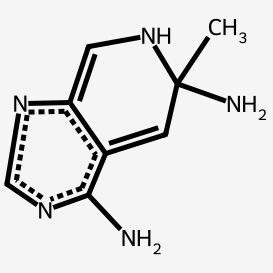 CC1(N)C=c2c(N)ncnc2=CN1